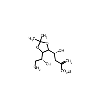 C=C(C[C@@H](O)C1OC(C)(C)OC1[C@H](O)CN)C(=O)OCC